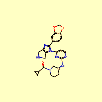 O=C(C1CC1)N1CCC[C@H](Nc2nccc(-n3c(-c4ccc5c(c4)OCO5)nc4c3CNC4)n2)C1